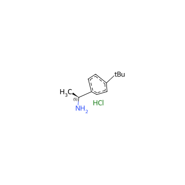 C[C@H](N)c1ccc(C(C)(C)C)cc1.Cl